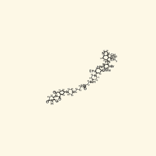 CCc1cc(Nc2ncc(Br)c(Nc3ccc4nccnc4c3P(C)(C)=O)n2)c(OC)cc1N1CCC(NCCNC(=O)CCCCN2CCN(c3ccc4c(c3)C(=O)N(C3CCC(=O)NC3=O)C4=O)CC2)CC1